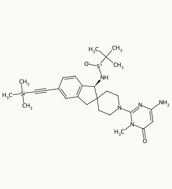 Cn1c(N2CCC3(CC2)Cc2cc(C#C[Si](C)(C)C)ccc2[C@H]3N[S+]([O-])C(C)(C)C)nc(N)cc1=O